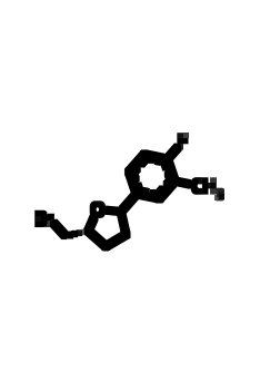 Cc1cc(C2CC[C@H](CBr)O2)ccc1F